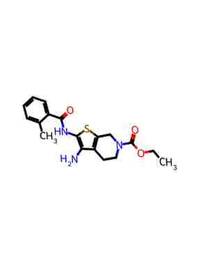 CCOC(=O)N1CCc2c(sc(NC(=O)c3ccccc3C)c2N)C1